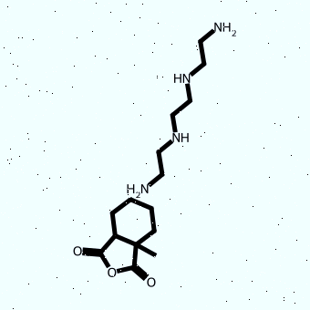 CC12CCCCC1C(=O)OC2=O.NCCNCCNCCN